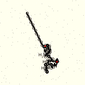 COCCOCCOCCOCCOCCOCCOCCOCCOCCOCCOCCOc1ccc(C[C@@H](C(=O)N[C@H](C(=O)NC(=O)[C@H](CCCN)N(C(N)=O)c2ccc(COC(=O)N(CCOC34CC5(C)CC(C)(CC(Cn6ncc(-c7ccc(-c8ccc9cccc(C(=O)Nc%10nc%11ccccc%11s%10)c9c8)nc7C(=O)O)c6C)(C5)C3)C4)CCS(=O)(=O)O)cc2)C(C)C)N2C(=O)C=CC2=O)cc1